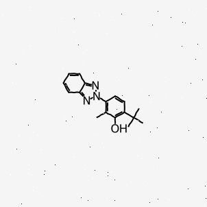 Cc1c(-n2nc3ccccc3n2)ccc(C(C)(C)C)c1O